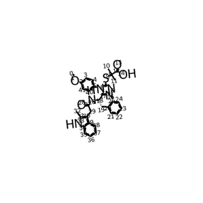 COc1ccc(-n2c(SC(C)(C)C(=O)O)nnc2[C@H](Cc2ccccc2)NC(=O)Cc2c(C)[nH]c3ccccc23)cc1